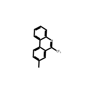 Cc1ccc2c(c1)c(C(F)(F)F)nc1ccccc12